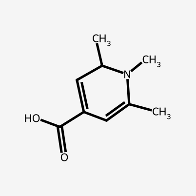 CC1=CC(C(=O)O)=CC(C)N1C